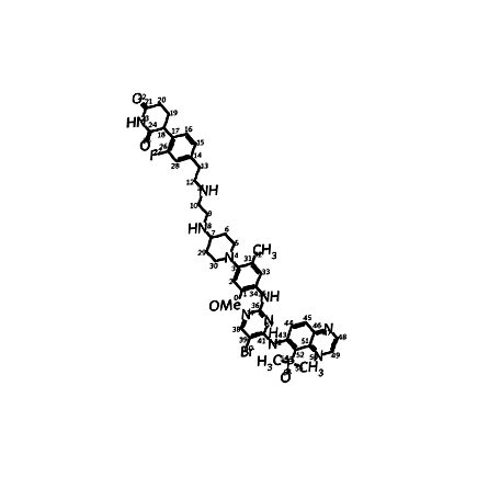 COc1cc(N2CCC(NCCNCCc3ccc(C4CCC(=O)NC4=O)c(F)c3)CC2)c(C)cc1Nc1ncc(Br)c(Nc2ccc3nccnc3c2P(C)(C)=O)n1